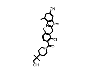 CC1CC(C#N)=Cc2c1nc(Cc1c(Cl)ccc(C(=O)N3CCC(C(C)(C)CO)CC3)c1Cl)n2C